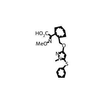 CON=C(C(=O)O)c1ccccc1COc1cc(Sc2ccccc2)n(C)n1